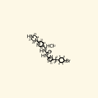 CC(C)(c1ccc(Br)cc1)c1csc(NC(=O)NCc2ccc(N3CCNCC3)nc2)n1.Cl